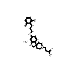 Cl.O=C(O)CCN1CCC2(CC1)COc1cc(OCCCc3c(Cl)cccc3Cl)ccc12